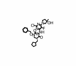 CC1(O)CCN(c2nc(Cl)nc(NNC(=O)[C@@H](CC3CCCC3)CN(C=O)OCc3ccccc3)c2F)C1